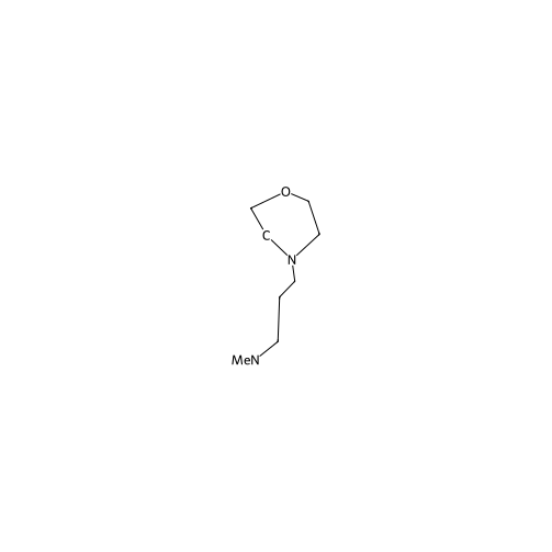 [CH]NCCCN1CCOCC1